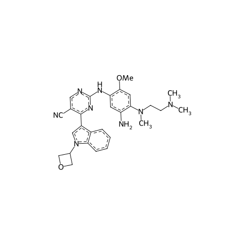 COc1cc(N(C)CCN(C)C)c(N)cc1Nc1ncc(C#N)c(-c2cn(C3COC3)c3ccccc23)n1